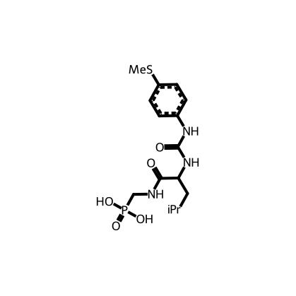 CSc1ccc(NC(=O)NC(CC(C)C)C(=O)NCP(=O)(O)O)cc1